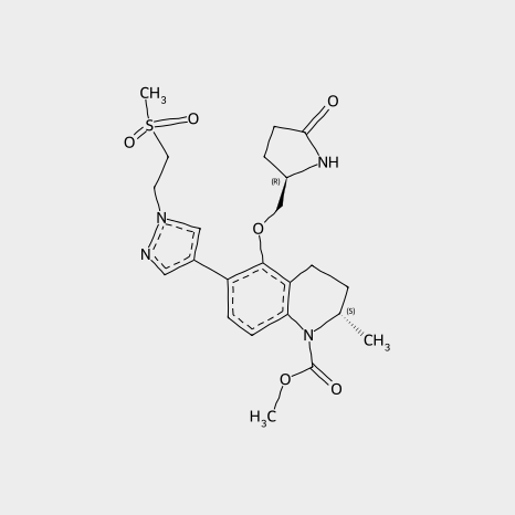 COC(=O)N1c2ccc(-c3cnn(CCS(C)(=O)=O)c3)c(OC[C@H]3CCC(=O)N3)c2CC[C@@H]1C